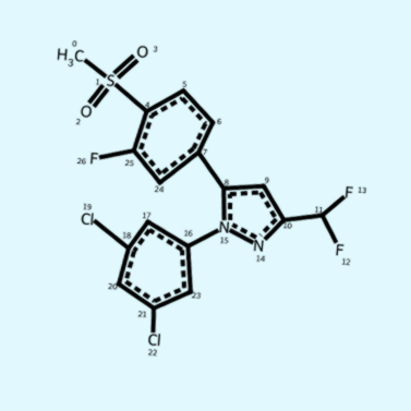 CS(=O)(=O)c1ccc(-c2cc(C(F)F)nn2-c2cc(Cl)cc(Cl)c2)cc1F